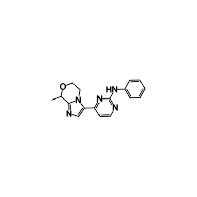 CC1OCCn2c(-c3ccnc(Nc4ccccc4)n3)cnc21